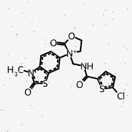 Cn1c(=O)sc2cc([N+]3(CNC(=O)c4ccc(Cl)s4)CCOC3=O)ccc21